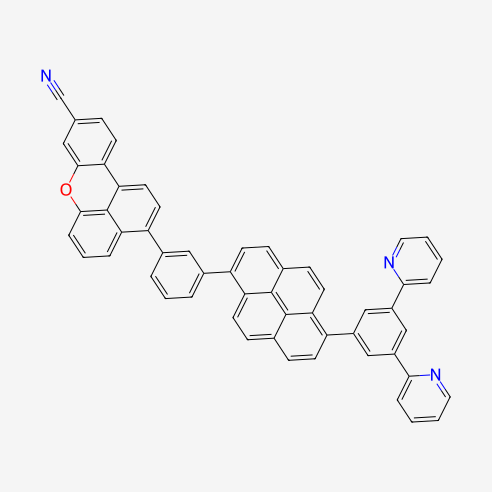 N#Cc1ccc2c(c1)Oc1cccc3c(-c4cccc(-c5ccc6ccc7c(-c8cc(-c9ccccn9)cc(-c9ccccn9)c8)ccc8ccc5c6c87)c4)ccc-2c13